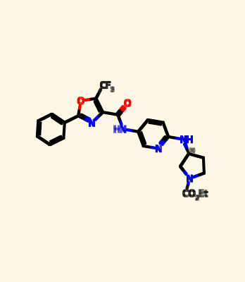 CCOC(=O)N1CC[C@H](Nc2ccc(NC(=O)c3nc(-c4ccccc4)oc3C(F)(F)F)cn2)C1